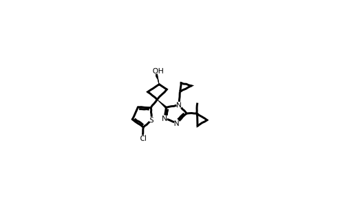 CC1(c2nnc([C@]3(c4ccc(Cl)s4)C[C@H](O)C3)n2C2CC2)CC1